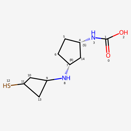 O=C(O)N[C@H]1CC[C@@H](NC2CC(S)C2)C1